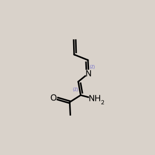 C=C/C=N\C=C(/N)C(C)=O